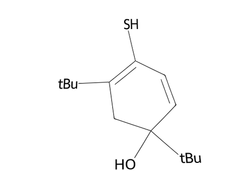 CC(C)(C)C1=C(S)C=CC(O)(C(C)(C)C)C1